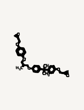 CC(COc1ccc(OCC2CO2)cc1)COc1ccc(C(C)(C)c2ccc(OCC3CO3)cc2)cc1